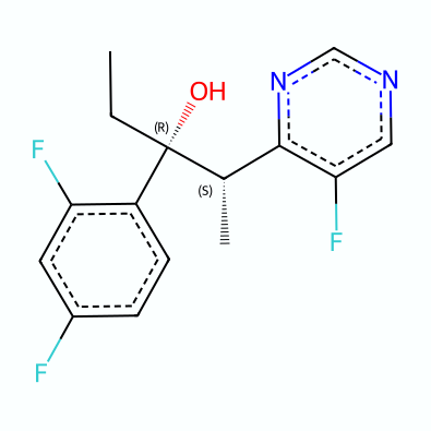 CC[C@](O)(c1ccc(F)cc1F)[C@@H](C)c1ncncc1F